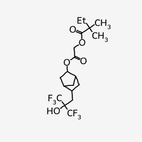 CCC(C)(C)C(=O)OCC(=O)OC1CC2CC1CC2CC(O)(C(F)(F)F)C(F)(F)F